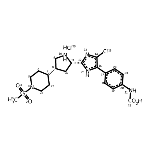 CS(=O)(=O)N1CCC([C@@H]2CN[C@H](c3nc(Cl)c(-c4ccc(NC(=O)O)cc4)[nH]3)C2)CC1.Cl